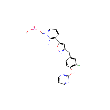 COP(=O)(O)OC[n+]1cccc(-c2cc(Cc3ccc(Oc4ncccn4)c(F)c3)no2)c1N